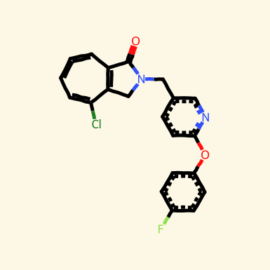 O=C1C2=C(CN1Cc1ccc(Oc3ccc(F)cc3)nc1)C(Cl)=CC=C=C2